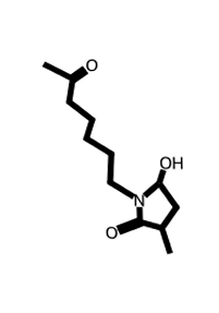 CC(=O)CCCCCN1C(=O)C(C)CC1O